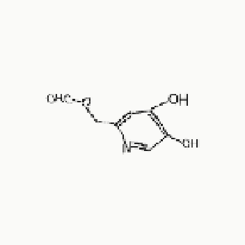 O=COCc1cc(O)c(O)cn1